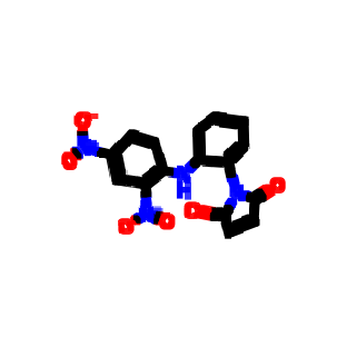 O=C1C=CC(=O)N1c1ccccc1Nc1ccc([N+](=O)[O-])cc1[N+](=O)[O-]